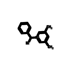 CCC(c1ccccc1)[n+]1cc(C)cc(C)c1